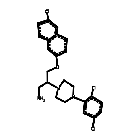 NCC(COc1ccc2cc(Cl)ccc2c1)N1CCN(c2cc(Cl)ccc2Cl)CC1